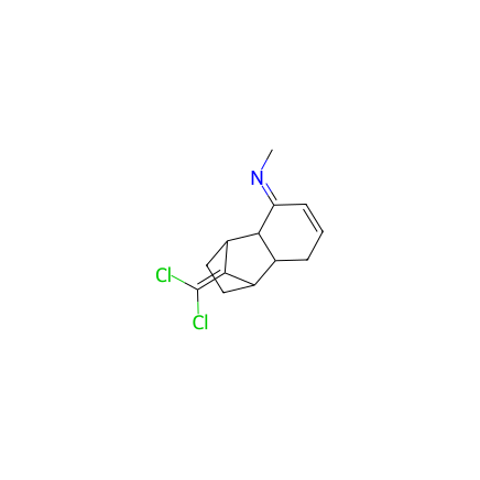 C/N=C1\C=CCC2C3CCC(C3=C(Cl)Cl)C12